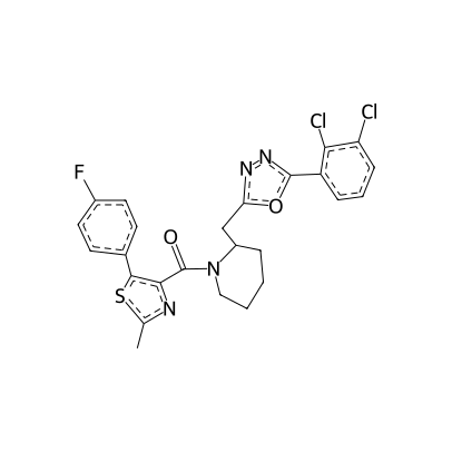 Cc1nc(C(=O)N2CCCCC2Cc2nnc(-c3cccc(Cl)c3Cl)o2)c(-c2ccc(F)cc2)s1